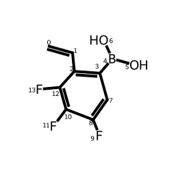 C=Cc1c(B(O)O)cc(F)c(F)c1F